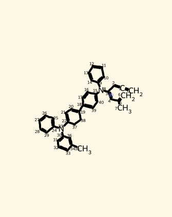 C=C=C/C(=C\C(=C)C)N(c1ccccc1)c1ccc(C2=CC=C(N(c3ccccc3)c3cccc(C)c3)CC2)cc1